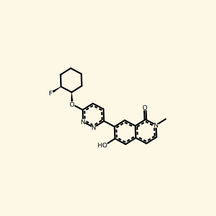 Cn1ccc2cc(O)c(-c3ccc(O[C@@H]4CCCC[C@@H]4F)nn3)cc2c1=O